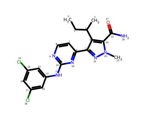 CCC(C)c1c(-c2ccnc(Nc3cc(Cl)cc(Cl)c3)n2)nn(C)c1C(N)=O